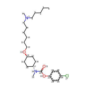 CCCCCN(C)CCCCCCO[C@H]1CC[C@H](N(C)C(=O)Oc2ccc(Cl)cc2)CC1